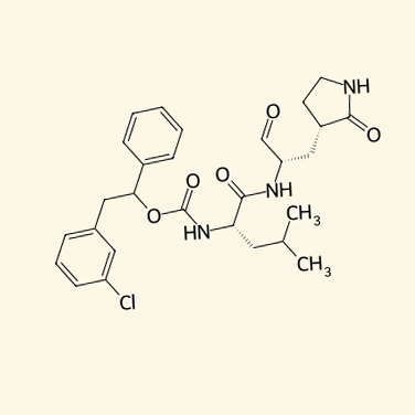 CC(C)C[C@H](NC(=O)OC(Cc1cccc(Cl)c1)c1ccccc1)C(=O)N[C@H](C=O)C[C@@H]1CCNC1=O